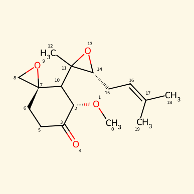 CO[C@@H]1C(=O)CC[C@]2(CO2)C1C1(C)O[C@@H]1CC=C(C)C